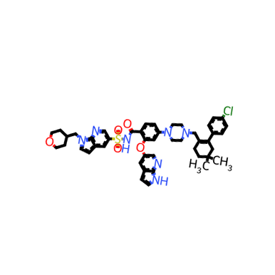 CC1(C)CCC(CN2CCN(c3ccc(C(=O)NS(=O)(=O)c4cnc5c(ccn5CC5CCOCC5)c4)c(Oc4cnc5[nH]ccc5c4)c3)CC2)=C(c2ccc(Cl)cc2)C1